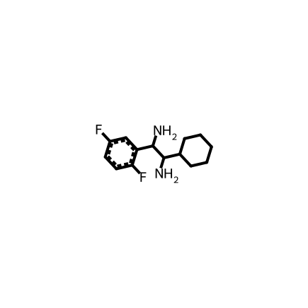 NC(c1cc(F)ccc1F)C(N)C1CCCCC1